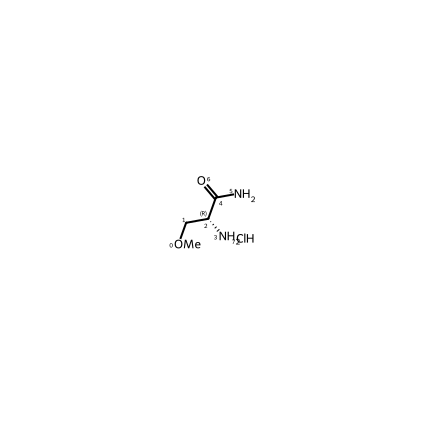 COC[C@@H](N)C(N)=O.Cl